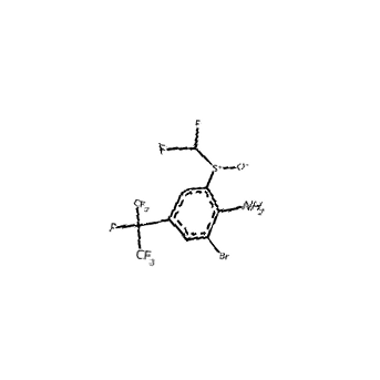 Nc1c(Br)cc(C(F)(C(F)(F)F)C(F)(F)F)cc1[S+]([O-])C(F)F